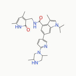 Cc1cc(C)c(CNC(=O)c2cc(-c3ccc(N4CC(C)NCC4C)nc3)cc3c2c(C)cn3C(C)C)c(=O)[nH]1